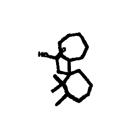 CC1CCCCC(CC(=O)O)(C2CCCCCC2)C1(C)C